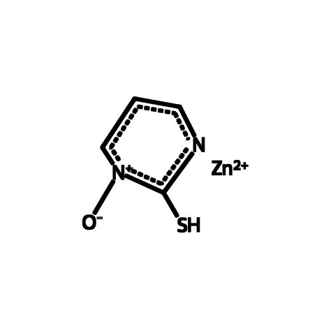 [O-][n+]1cccnc1S.[Zn+2]